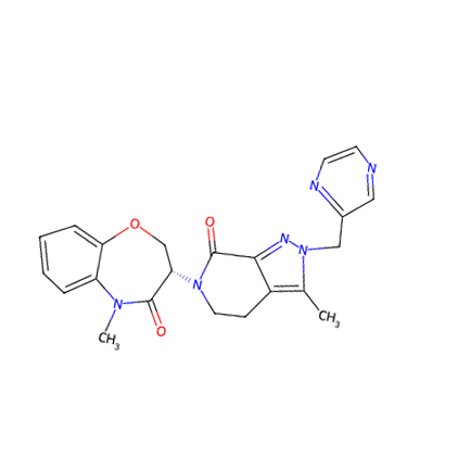 Cc1c2c(nn1Cc1cnccn1)C(=O)N([C@H]1COc3ccccc3N(C)C1=O)CC2